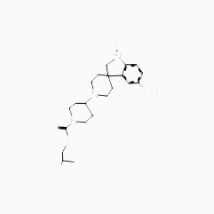 CC(=O)N1CC2(CCN(C3CCN(C(=O)OCC(F)F)CC3)CC2)c2cc(C)ccc21